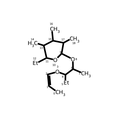 C/C=C\OC(CC)C(C)OC1OC(CC)C(C)C(C)C1C